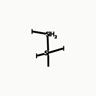 C[Si](I)(I)[SiH2]I